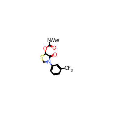 CNC(=O)OC1SCN(c2cccc(C(F)(F)F)c2)C1=O